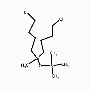 C[Si](C)(C)O[Si](C)(CCCCCl)CCCCCl